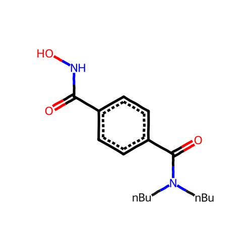 CCCCN(CCCC)C(=O)c1ccc(C(=O)NO)cc1